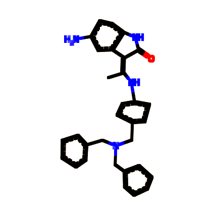 C/C(Nc1ccc(CN(Cc2ccccc2)Cc2ccccc2)cc1)=C1/C(=O)Nc2ccc(N)cc21